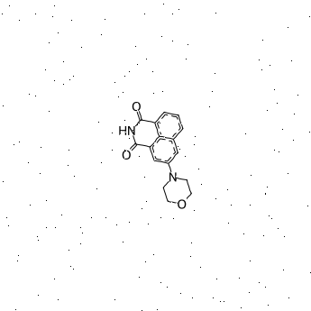 O=C1NC(=O)c2cc(N3CCOCC3)cc3cccc1c23